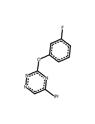 CC(C)c1cnnc(Oc2cccc(F)c2)n1